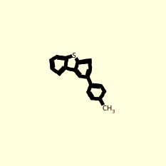 CC1C=CC(c2ccc3sc4ccccc4c3c2)=CC1